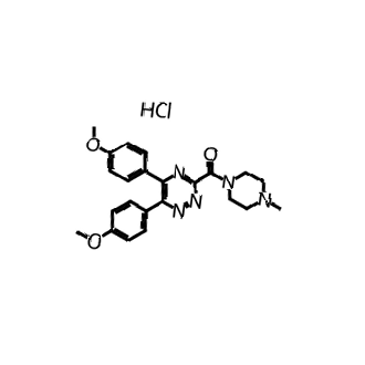 COc1ccc(-c2nnc(C(=O)N3CCN(C)CC3)nc2-c2ccc(OC)cc2)cc1.Cl